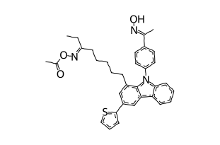 CCC(CCCCCc1cc(-c2cccs2)cc2c3ccccc3n(-c3ccc(C(C)=NO)cc3)c12)=NOC(C)=O